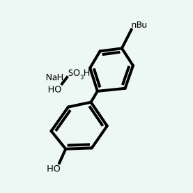 CCCCc1ccc(-c2ccc(O)cc2)cc1.O=S(=O)(O)O.[NaH]